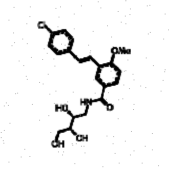 COc1ccc(C(=O)NC[C@H](O)[C@@H](O)CO)cc1/C=C/c1ccc(Cl)cc1